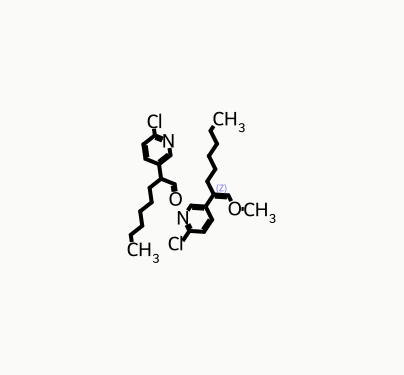 CCCCCC/C(=C/OC)c1ccc(Cl)nc1.CCCCCCC(C=O)c1ccc(Cl)nc1